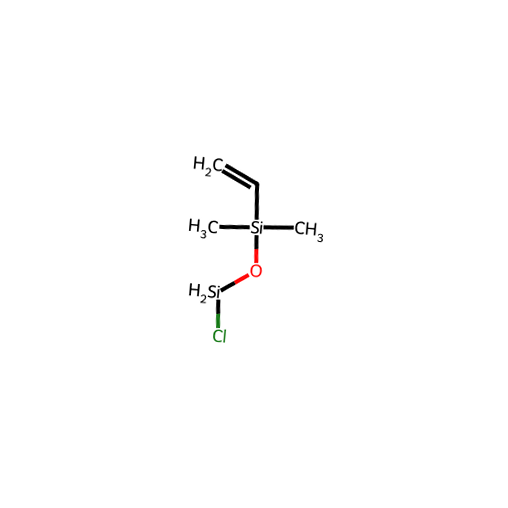 C=C[Si](C)(C)O[SiH2]Cl